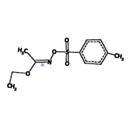 CCO/C(C)=N/OS(=O)(=O)c1ccc(C)cc1